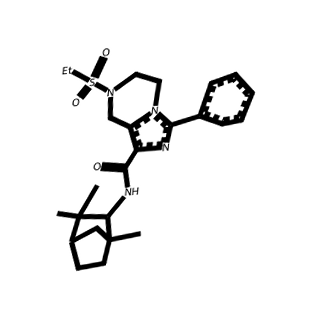 CCS(=O)(=O)N1CCn2c(-c3ccccc3)nc(C(=O)NC3C4(C)CCC(C4)C3(C)C)c2C1